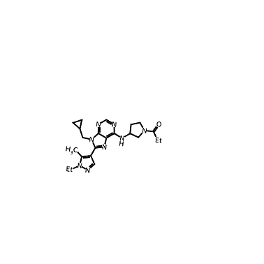 CCC(=O)N1CCC(Nc2ncnc3c2nc(-c2cnn(CC)c2C)n3CC2CC2)C1